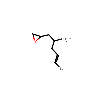 CCC=CCC(CC1CO1)C(=O)OCC